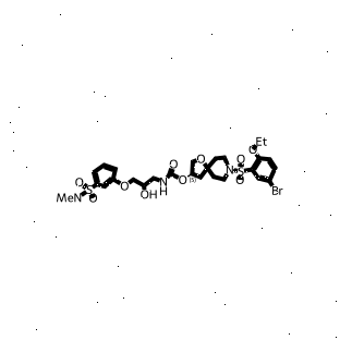 CCOc1ccc(Br)cc1S(=O)(=O)N1CCC2(CC1)C[C@H](OC(=O)NCC(O)COc1cccc(S(=O)(=O)NC)c1)CO2